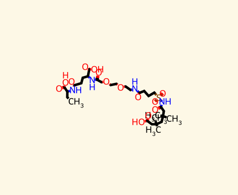 CCC(NC(=O)CCC(NC(=O)COCCOCCNC(=O)CCCS(=O)(=O)NC(=O)CC(C)(C)CC(C)(C)CC(=O)O)C(=O)O)C(=O)O